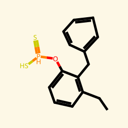 CCc1cccc(O[PH](=S)S)c1Cc1ccccc1